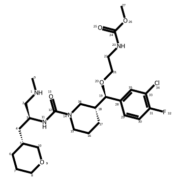 CNC[C@H](C[C@H]1CCCOC1)NC(=O)N1CCC[C@@H]([C@@H](OCCNC(=O)OC)c2ccc(F)c(Cl)c2)C1